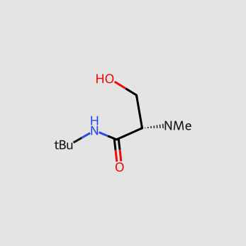 CN[C@@H](CO)C(=O)NC(C)(C)C